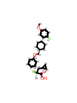 COc1ccc(F)c([C@H]2CC[C@H](COc3cccc([C@H](C4CC4)[C@](C)(F)C(=O)O)c3)CC2)c1